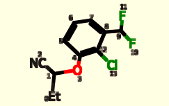 CCC(C#N)Oc1cccc(C(F)F)c1Cl